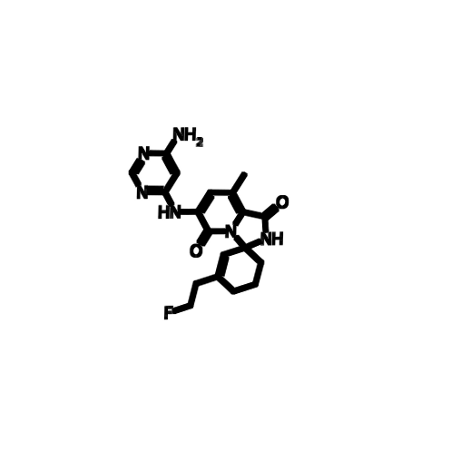 Cc1cc(Nc2cc(N)ncn2)c(=O)n2c1C(=O)NC21C=C(CCF)CCC1